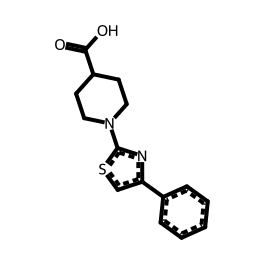 O=C(O)C1CCN(c2nc(-c3ccccc3)cs2)CC1